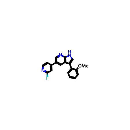 COc1ccccc1-c1c[nH]c2ncc(-c3ccnc(F)c3)cc12